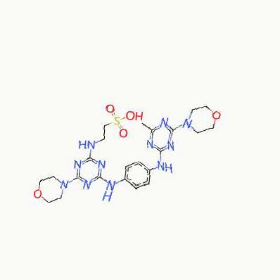 Cc1nc(Nc2ccc(Nc3nc(NCCS(=O)(=O)O)nc(N4CCOCC4)n3)cc2)nc(N2CCOCC2)n1